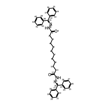 O=C(CCCCCCCCCCC(=O)NN=C(c1ccccc1)c1ccccc1)NN=C(c1ccccc1)c1ccccc1